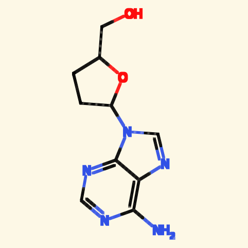 Nc1ncnc2c1ncn2C1CCC(CO)O1